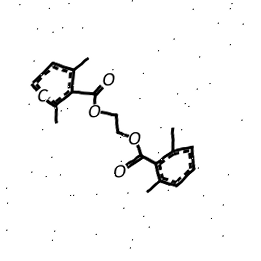 Cc1cccc(C)c1C(=O)OCCOC(=O)c1c(C)cccc1C